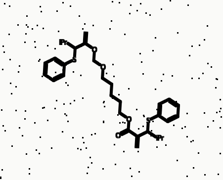 C=C(OCOCCCCCOC(=O)C(=C)C(Sc1ccccc1)C(C)C)C(Sc1ccccc1)C(C)C